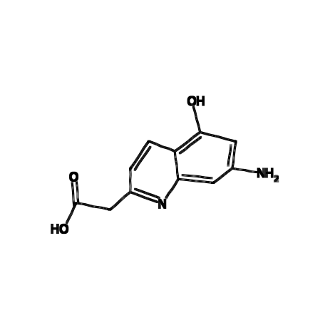 Nc1cc(O)c2ccc(CC(=O)O)nc2c1